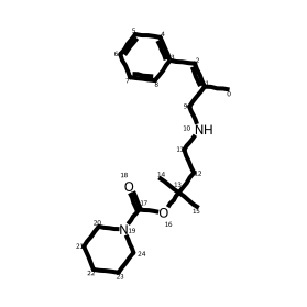 CC(=Cc1ccccc1)CNCCC(C)(C)OC(=O)N1CCCCC1